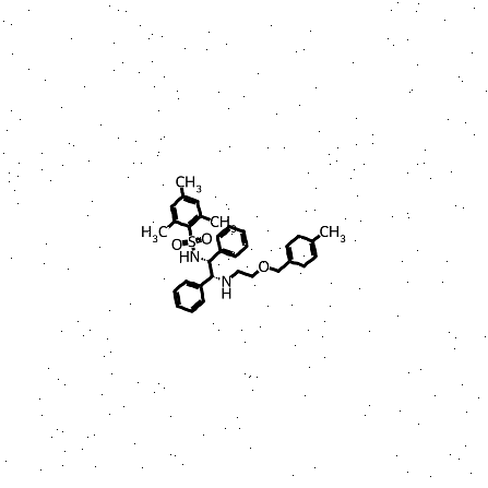 CC1=CCC(COCCN[C@H](c2ccccc2)[C@H](NS(=O)(=O)c2c(C)cc(C)cc2C)c2ccccc2)=CC1